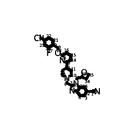 N#Cc1ccc2nc(CN3CC=C(c4cccc(OCc5ccc(Cl)cc5F)n4)CC3)n(CC3CCO3)c2c1